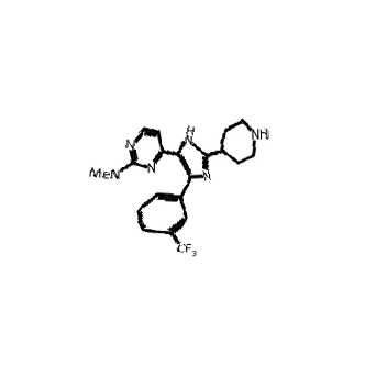 CNc1nccc(-c2[nH]c(C3CCNCC3)nc2-c2cccc(C(F)(F)F)c2)n1